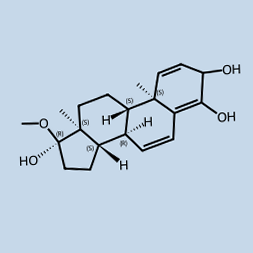 CO[C@]1(O)CC[C@H]2[C@@H]3C=CC4=C(O)C(O)C=C[C@]4(C)[C@H]3CC[C@@]21C